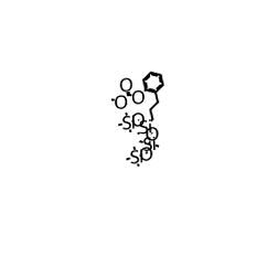 COC(=O)Oc1ccccc1CCC[Si](C)(O[Si](C)(C)C)O[Si](C)(C)O[Si](C)(C)C